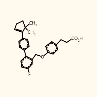 CC1(C)CCC=C1c1ccc(-c2ccc(F)cc2COc2ccc(CCC(=O)O)cc2)cc1